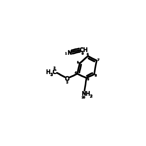 C#N.COc1ccccc1N